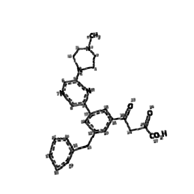 CN1CCN(c2cncc(-c3cc(Cc4ccccc4)cc(C(=O)CC(=O)C(=O)O)c3)n2)CC1